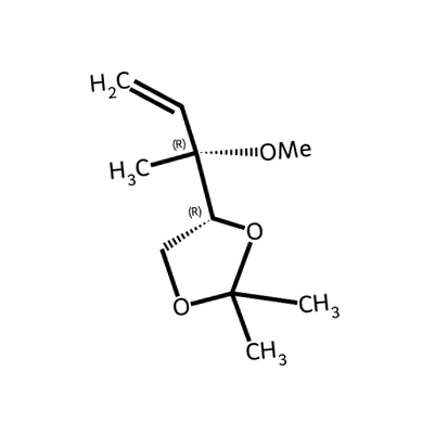 C=C[C@@](C)(OC)[C@H]1COC(C)(C)O1